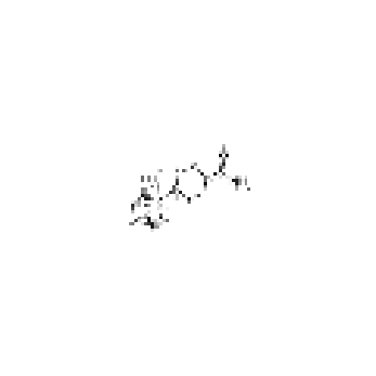 CC1(N2CCC(C(N)=O)CC2)CCN2CCC1CC2